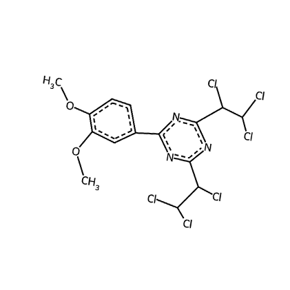 COc1ccc(-c2nc(C(Cl)C(Cl)Cl)nc(C(Cl)C(Cl)Cl)n2)cc1OC